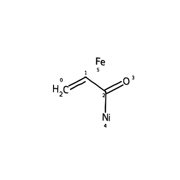 C=C[C](=O)[Ni].[Fe]